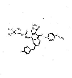 COc1ccc(COc2c3c(c(NC(=O)OCC[Si](C)(C)C)c4cc(Cc5ccc(F)cc5)cnc24)CN(C)C3=O)cc1